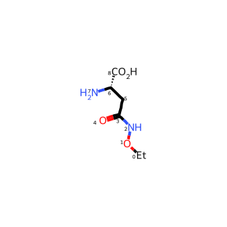 CCONC(=O)C[C@H](N)C(=O)O